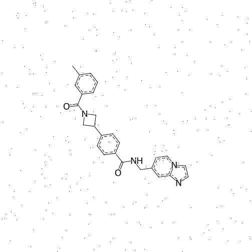 Cc1cccc(C(=O)N2CC(c3ccc(C(=O)NCc4ccn5ccnc5c4)cc3)C2)c1